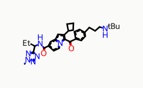 CCC(NC(=O)c1ccn2c(C(=O)c3ccc(CCCNC(C)(C)C)cc3)c(C3CCC3)cc2c1)c1nnn(C)n1